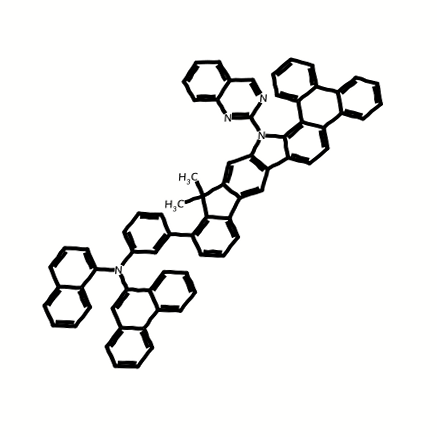 CC1(C)c2cc3c(cc2-c2cccc(-c4cccc(N(c5cccc6ccccc56)c5cc6ccccc6c6ccccc56)c4)c21)c1ccc2c4ccccc4c4ccccc4c2c1n3-c1ncc2ccccc2n1